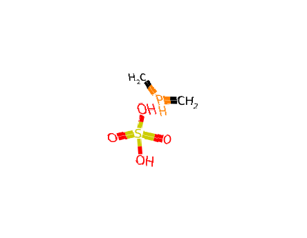 C=[PH]=C.O=S(=O)(O)O